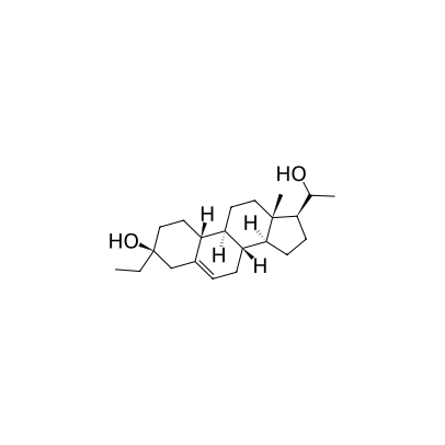 CC[C@]1(O)CC[C@H]2C(=CC[C@@H]3[C@@H]2CC[C@]2(C)[C@@H](C(C)O)CC[C@@H]32)C1